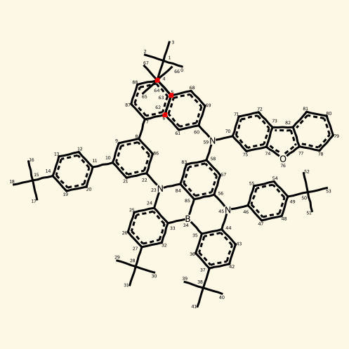 CC(C)(C)c1ccc(-c2cc(-c3ccc(C(C)(C)C)cc3)cc(N3c4ccc(C(C)(C)C)cc4B4c5cc(C(C)(C)C)ccc5N(c5ccc(C(C)(C)C)cc5)c5cc(N(c6ccc(C(C)(C)C)cc6)c6ccc7c(c6)oc6ccccc67)cc3c54)c2)cc1